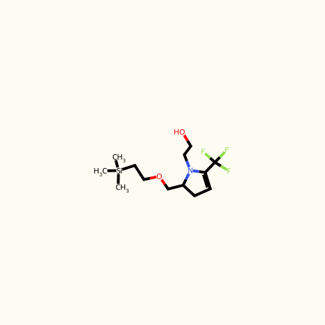 C[Si](C)(C)CCOCC1CC=C(C(F)(F)F)N1CCO